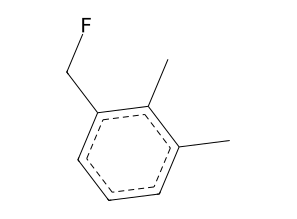 Cc1cccc(CF)c1C